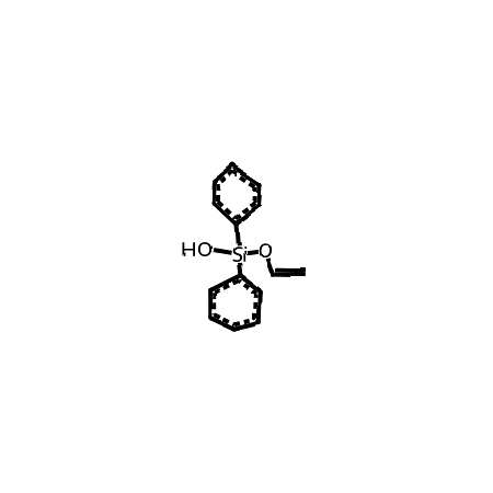 C=CO[Si](O)(c1ccccc1)c1ccccc1